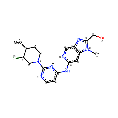 CO[C@H]1CCN(c2nccc(Nc3cc4c(cn3)nc(CO)n4C(C)C)n2)C[C@H]1Cl